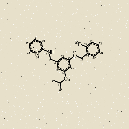 CC(C)Oc1cc(CNc2ccccn2)cc(OCc2ccccc2F)c1